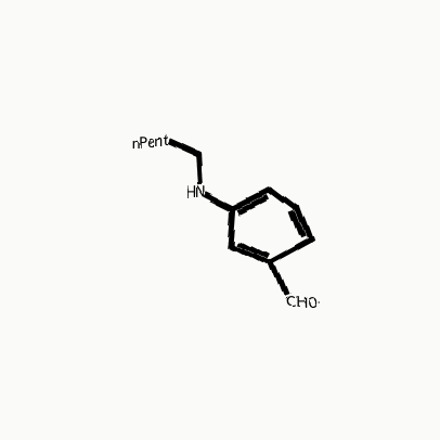 CCCCCCNc1cccc([C]=O)c1